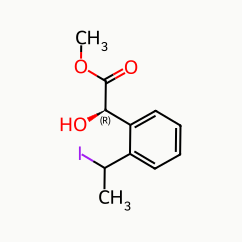 COC(=O)[C@H](O)c1ccccc1C(C)I